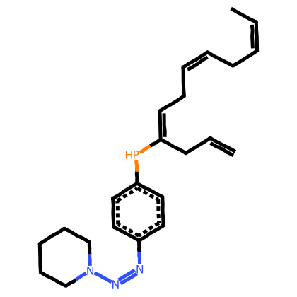 C=CC/C(=C\C/C=C\C/C=C\C)Pc1ccc(/N=N\N2CCCCC2)cc1